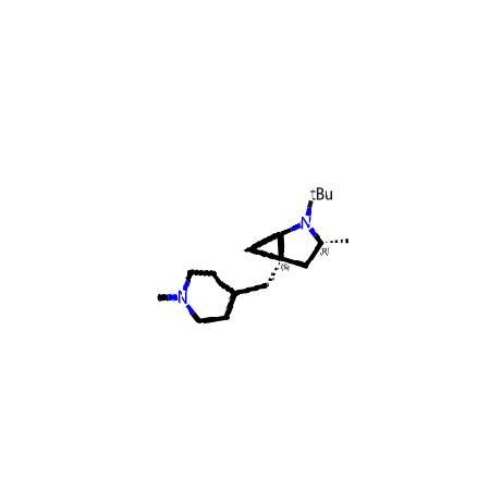 C[C@@H]1C[C@@]2(CC3CCN(C)CC3)CC2N1C(C)(C)C